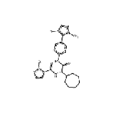 CCn1nccc1C(=O)N[C@H](C(=O)Nc1ccc(-c2c(Cl)cnn2C)cn1)C1CCCCCC1